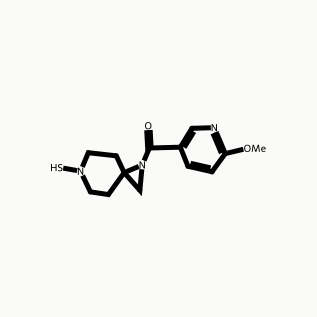 COc1ccc(C(=O)N2CC23CCN(S)CC3)cn1